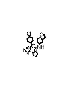 O=C(Nc1ccc2occc2c1)N1CCC[C@@H]1c1nncn1Cc1ccc(Cl)cc1